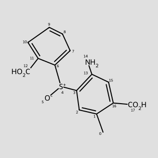 Cc1cc([S+]([O-])c2ccccc2C(=O)O)c(N)cc1C(=O)O